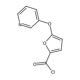 O=C(Cl)c1ccc(Oc2cccnc2)o1